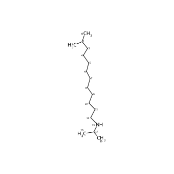 CC(C)CCCCCCCCCCNC(C)C